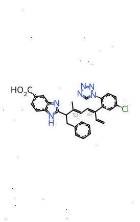 C=C/C(=C\C=C(/C)C(Cc1ccccc1)c1nc2cc(C(=O)O)ccc2[nH]1)c1cc(Cl)ccc1-n1cnnn1